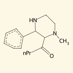 CCCC(=O)C1C(c2ccccc2)NCCN1C